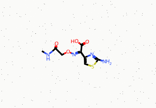 CNC(=O)CON=C(C(=O)O)c1csc(N)n1